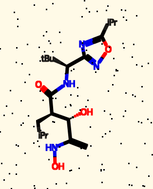 C=C(NO)[C@@H](O)[C@@H](CC(C)C)C(=O)N[C@H](c1noc(C(C)C)n1)C(C)(C)C